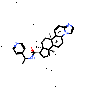 CC(NC(=O)[C@@H]1CC[C@H]2[C@@H]3CCC4[C@H](C=Cc5nccn54)[C@H]3CC[C@@H]21)c1ccncc1